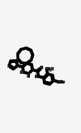 COc1ccc(NC(=O)C2CC3(CCCCCCCC3)C(n3ccnc3)NN2)c(C(=O)O)c1